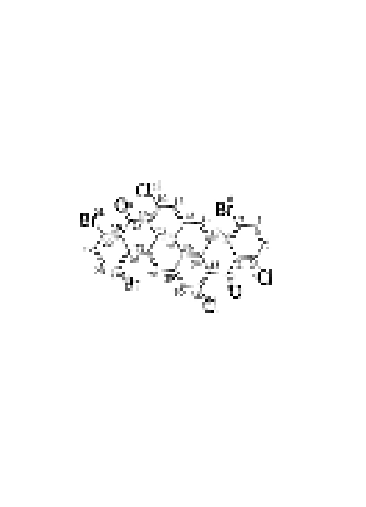 O=c1c2c(Cl)ccc(Br)c2c2cc3cc(Cl)c4c(=O)c5c(Br)ccc(Br)c5c5cc6cc(Cl)c1c2c6c3c45